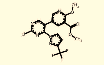 COC(=O)c1cc(-c2cnc(Cl)nc2-n2ccc(C(F)(F)F)n2)cnc1OC